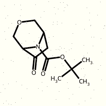 CC(C)(C)OC(=O)N1C2COCC1C(=O)C2